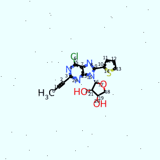 CC#Cc1nc(Cl)c2nc(-c3cccs3)n([C@@H]3OC[C@@H](O)[C@H]3O)c2n1